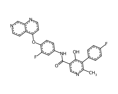 Cc1ncc(C(=O)Nc2ccc(Oc3ccnc4cnccc34)c(F)c2)c(O)c1-c1ccc(F)cc1